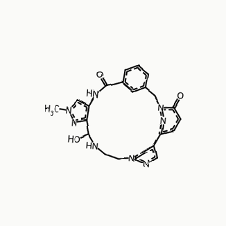 Cn1cc2c(n1)C(O)NCCn1cc(cn1)-c1ccc(=O)n(n1)Cc1cccc(c1)C(=O)N2